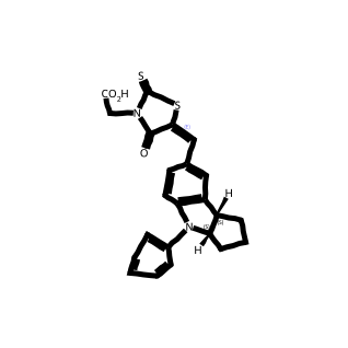 O=C(O)CN1C(=O)/C(=C\c2ccc3c(c2)[C@@H]2CCC[C@@H]2N3c2ccccc2)SC1=S